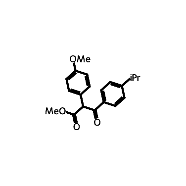 COC(=O)C(C(=O)c1ccc(C(C)C)cc1)c1ccc(OC)cc1